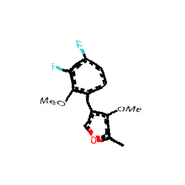 COc1c(-c2ccc(F)c(F)c2OC)coc1C